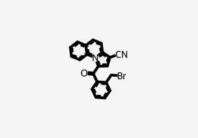 N#Cc1cc(C(=O)c2ccccc2CBr)n2c1ccc1ccccc12